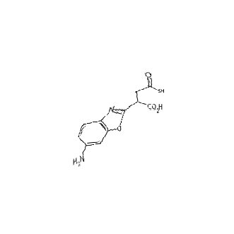 Nc1ccc2nc(C(CC(=O)S)C(=O)O)oc2c1